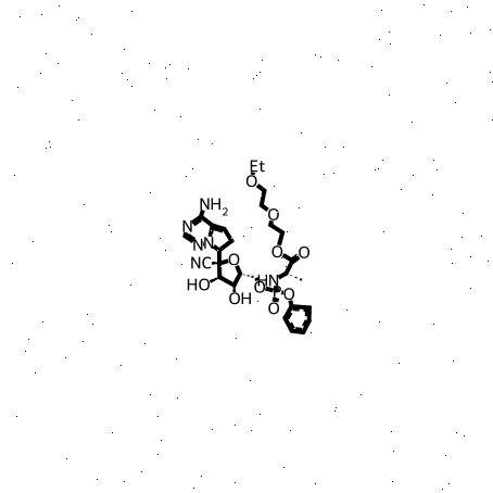 CCOCCOCCOC(=O)[C@H](C)NP(=O)(OC[C@H]1O[C@@](C#N)(C2CC=C3C(N)=NC=NN32)[C@H](O)[C@@H]1O)Oc1ccccc1